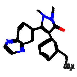 Cn1c(-c2ccc3nccnc3c2)c(-c2cccc(CC(=O)O)c2)c(=O)n1C